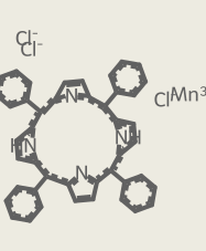 C1=Cc2nc1c(-c1ccccc1)c1ccc([nH]1)c(-c1ccccc1)c1nc(c(-c3ccccc3)c3ccc([nH]3)c2-c2ccccc2)C=C1.[Cl-].[Cl-].[Cl-].[Mn+3]